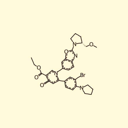 CCOC(=O)c1cn(-c2ccc3nc(N4CCC[C@@H]4COC)oc3c2)c(-c2ccc(N3CCCC3)c(Br)c2)cc1=O